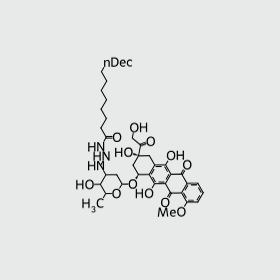 CCCCCCCCCCCCCCCCCC(=O)NNNC1CC(O[C@H]2C[C@](O)(C(=O)CO)Cc3c(O)c4c(c(O)c32)C(=O)c2c(OC)cccc2C4=O)OC(C)C1O